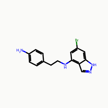 Nc1ccc(CCNc2cc(Br)cc3[nH]ncc23)cc1